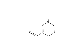 O=CC1=CNCCC1